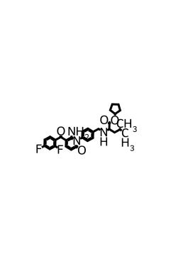 CC(C)CC(NCc1ccc(-n2c(N)c(C(=O)c3ccc(F)cc3F)ccc2=O)cc1)C(=O)OC1CCCC1